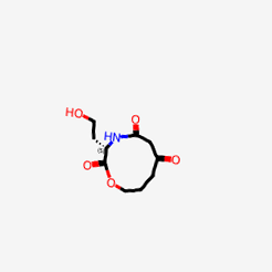 O=C1CCCOC(=O)[C@H](CCO)NC(=O)C1